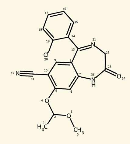 COC(C)Oc1cc2c(cc1C#N)C(c1ccccc1Cl)=NCC(=O)N2